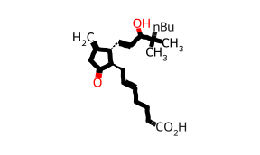 C=C1CC(=O)[C@H](CC=CCCCC(=O)O)[C@H]1C=CC(O)C(C)(C)CCCC